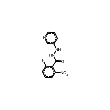 O=C(NNc1cccnc1)c1c(F)cccc1[N+](=O)[O-]